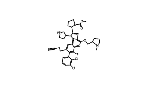 COC(=O)N1CCCC1c1cc2c(OCC3CCCN3C)nc3c(F)c(-c4cccc(Cl)c4Cl)c(CCC#N)cc3c2n1C1CCNC1